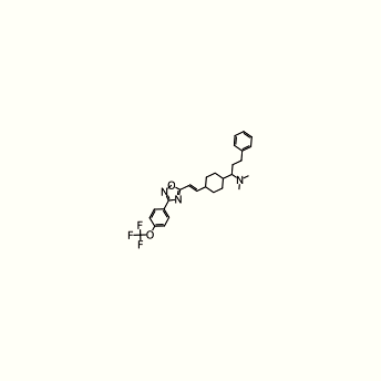 CN(C)C(CCc1ccccc1)C1CCC(C=Cc2nc(-c3ccc(OC(F)(F)F)cc3)no2)CC1